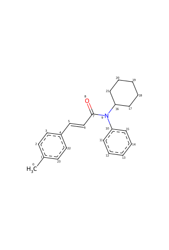 Cc1ccc(/C=C/C(=O)N(c2ccccc2)C2CCCCC2)cc1